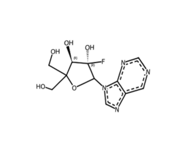 OCC1(CO)OC(n2cnc3cncnc32)[C@](O)(F)[C@@H]1O